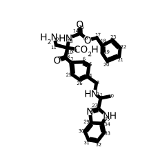 CC(NCc1ccc(C(=O)C(CN)(NC(=O)OCc2ccccc2)C(=O)O)cc1)c1nc2ccccc2[nH]1